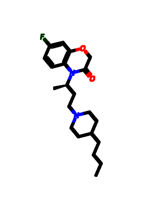 CCCCC1CCN(CC[C@@H](C)N2C(=O)COc3cc(F)ccc32)CC1